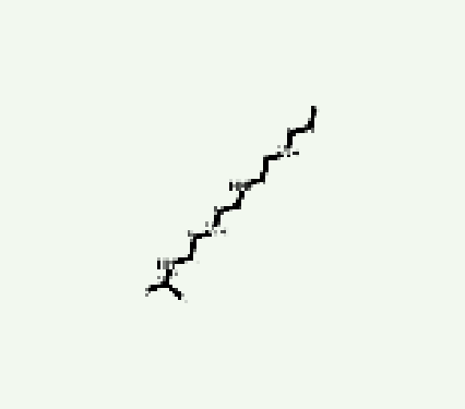 CCCNCCNCCNCCNC(C)C